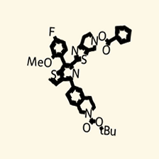 COc1cc(F)ccc1-c1c(-c2nc3c(s2)CN(OC(=O)c2ccccc2)CC3)nc(-c2ccc3c(c2)CCN(C(=O)OC(C)(C)C)C3)c2ccsc12